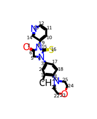 Cc1cc(N2CC(=O)N(c3cccnc3)C2=S)ccc1N1CCOCC1